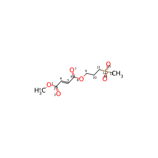 COC(=O)/C=C/C(=O)OCCCS(C)(=O)=O